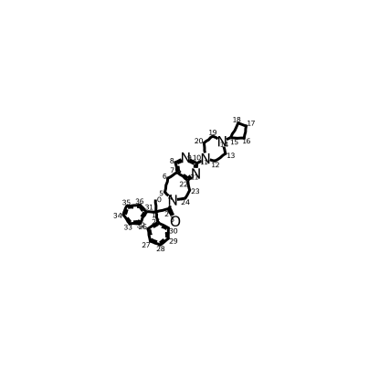 CC(C(=O)N1CCc2cnc(N3CCN(C4CCC4)CC3)nc2CC1)(c1ccccc1)c1ccccc1